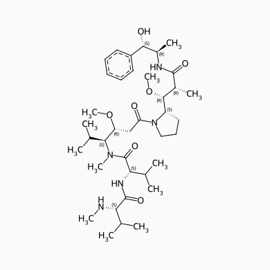 CN[C@H](C(=O)N[C@H](C(=O)N(C)[C@@H](C(C)C)[C@@H](CC(=O)N1CCC[C@H]1[C@H](OC)[C@@H](C)C(=O)N[C@H](C)[C@@H](O)c1ccccc1)OC)C(C)C)C(C)C